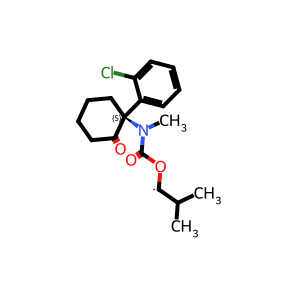 CC(C)[CH]OC(=O)N(C)[C@]1(c2ccccc2Cl)CCCCC1=O